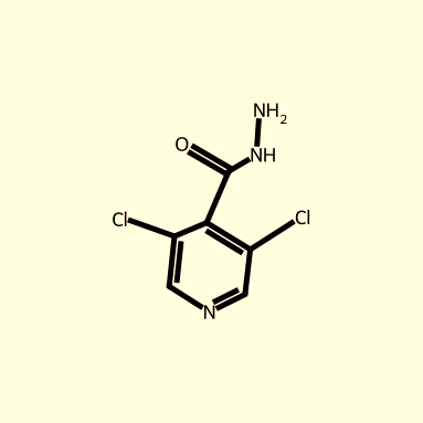 NNC(=O)c1c(Cl)cncc1Cl